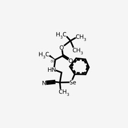 C[C@H](NCC(C)(C#N)[Se]c1ccccc1)C(=O)OC(C)(C)C